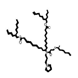 CCCCCCC(CCCC)COC(=O)CCCCCCCCC(CCCCCCCCC(=O)OCC(CCCC)CCCCCC)N(CCCN1CCCC1)C(=O)CCS[C@@H](C)CCCCC